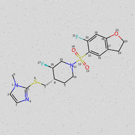 Cn1ccnc1SC[C@H]1CCN(S(=O)(=O)c2cc3c(cc2F)OCC3)C[C@@H]1F